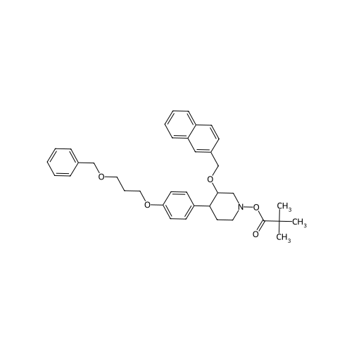 CC(C)(C)C(=O)ON1CCC(c2ccc(OCCCOCc3ccccc3)cc2)C(OCc2ccc3ccccc3c2)C1